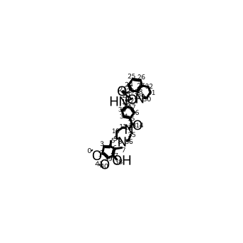 COc1cc(C)c(CN2CCCN(C(=O)c3ccc(NS(=O)(=O)c4cccc5c4N=CCC5)cc3)CC2)c(O)c1OC